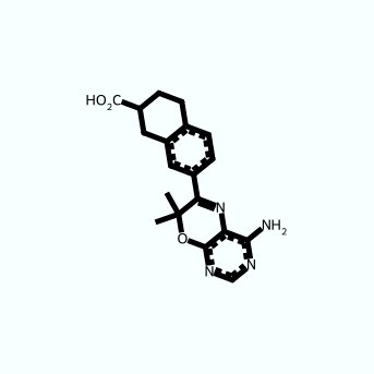 CC1(C)Oc2ncnc(N)c2N=C1c1ccc2c(c1)CC(C(=O)O)CC2